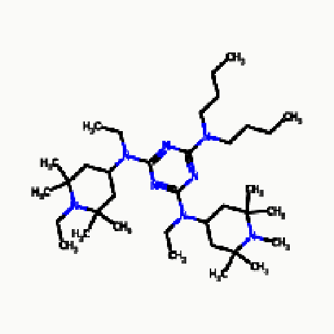 CCCCN(CCCC)c1nc(N(CC)C2CC(C)(C)N(C)C(C)(C)C2)nc(N(CC)C2CC(C)(C)N(CC)C(C)(C)C2)n1